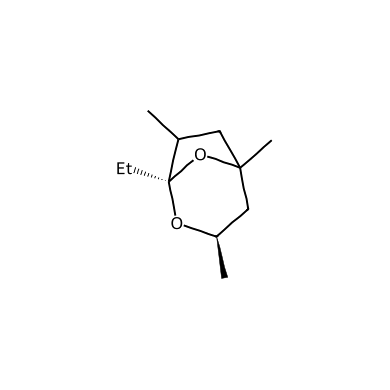 CC[C@]12O[C@H](C)CC(C)(CC1C)O2